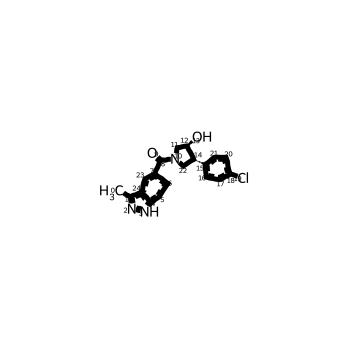 Cc1n[nH]c2ccc(C(=O)N3C[C@@H](O)[C@H](c4ccc(Cl)cc4)C3)cc12